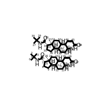 CC(C)(C)NC(=O)[C@H]1CC[C@H]2[C@@H]3CC[C@H]4NC(=O)C=C[C@]4(C)[C@H]3CC[C@]12C.CC(C)(C)NC(=O)[C@H]1CC[C@H]2[C@@H]3CC[C@H]4NC(=O)C=C[C@]4(C)[C@H]3CC[C@]12C